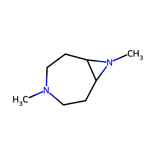 CN1CCC2C(CC1)N2C